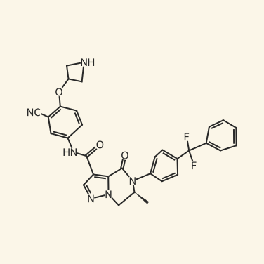 C[C@H]1Cn2ncc(C(=O)Nc3ccc(OC4CNC4)c(C#N)c3)c2C(=O)N1c1ccc(C(F)(F)c2ccccc2)cc1